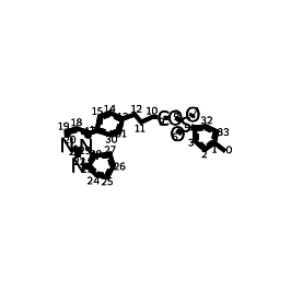 Cc1ccc(S(=O)(=O)OCCCCc2ccc(-c3ccnc4nc5ccccc5n34)cc2)cc1